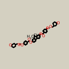 CC1(C)c2cc(OC(=O)c3ccc(OCOCC4CCC5OC5C4)cc3)ccc2-c2ccc(OC(=O)c3ccc(OCOCC4CCC5OC5C4)cc3)cc21